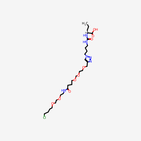 CCC[C@H](NC(=O)NCCCCn1cc(COCCOCOCCCC(=O)NCCOCCOCCCCCl)nn1)C(=O)O